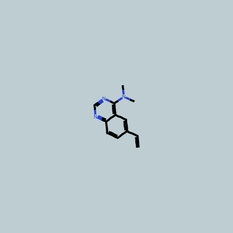 C=Cc1ccc2ncnc(N(C)C)c2c1